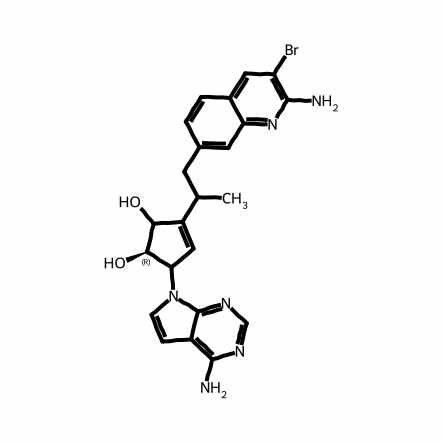 CC(Cc1ccc2cc(Br)c(N)nc2c1)C1=CC(n2ccc3c(N)ncnc32)[C@@H](O)C1O